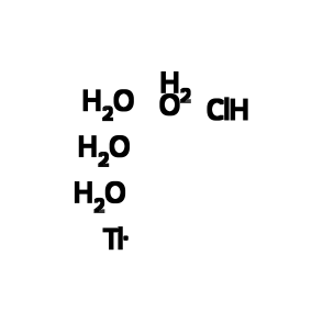 Cl.O.O.O.O.[Tl]